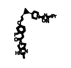 Cc1nc2c([nH]1)CN(C(=O)Cc1ccc(OCC[C@@H]3C[C@@H]3C3CCN(c4nc(C(C)C)no4)CC3)cc1F)C2